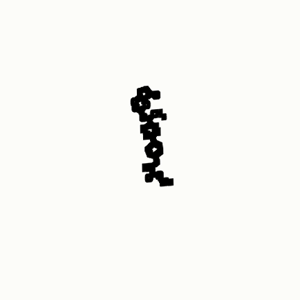 CC(OC(=O)ON1C(=O)CCC1=O)c1nnc(-c2ccc(CNC(=O)OC(C)(C)C)cc2)nn1